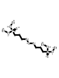 CCOP(=S)(CCCSSSCCCP(=S)(OCC)OCC)OCC